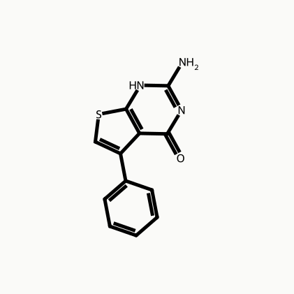 Nc1nc(=O)c2c(-c3ccccc3)csc2[nH]1